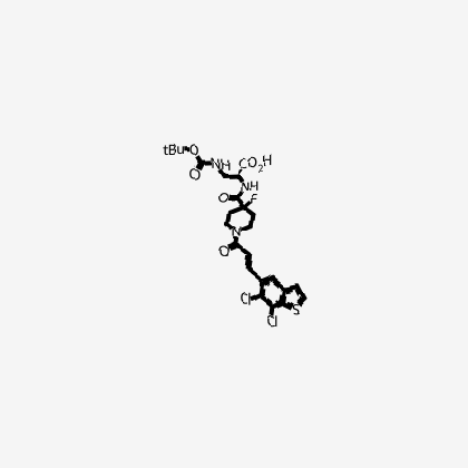 CC(C)(C)OC(=O)NC[C@H](NC(=O)C1(F)CCN(C(=O)C=Cc2cc3ccsc3c(Cl)c2Cl)CC1)C(=O)O